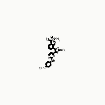 CCC(c1cccc(-c2nc(C(C)(C)C)sc2-c2ccnc(NC3CCC(C=O)CC3)n2)c1F)S(N)(=O)=O